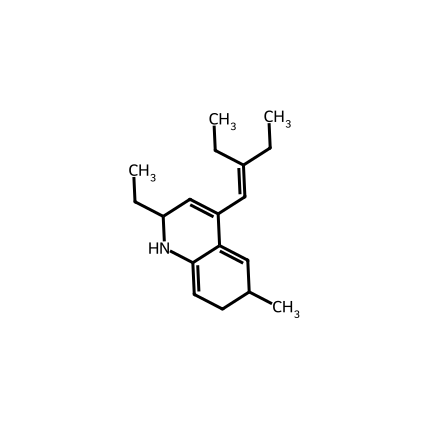 CCC(=CC1=CC(CC)NC2=CCC(C)C=C12)CC